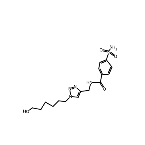 NS(=O)(=O)c1ccc(C(=O)NCc2cn(CCCCCCO)nn2)cc1